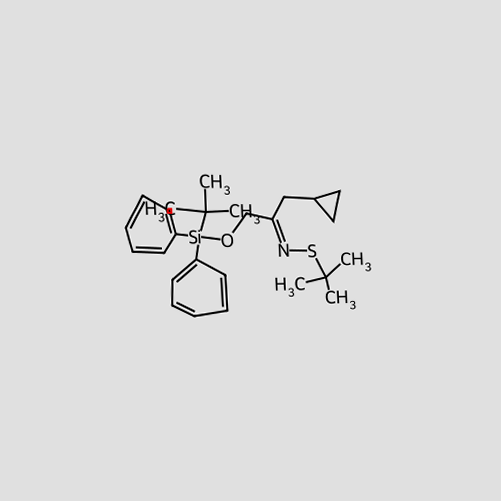 CC(C)(C)SN=C(CO[Si](c1ccccc1)(c1ccccc1)C(C)(C)C)CC1CC1